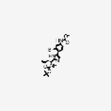 C=CC[C@H](NC(=O)OC(C)(C)C)c1ncc(-c2ccc(NC(=O)OC)cc2Br)[nH]1